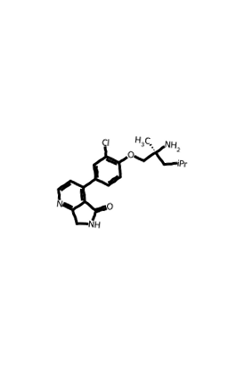 CC(C)C[C@](C)(N)COc1ccc(-c2ccnc3c2C(=O)NC3)cc1Cl